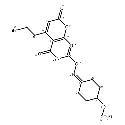 CCOC(=O)NC1CCC(=NOc2nc3oc(=O)cc(CCC(C)C)c3c(=O)[nH]2)CC1